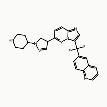 FC(F)(c1ccc2ncccc2c1)c1cnc2ccc(C3C=NN(C4CCNCC4)C3)nn12